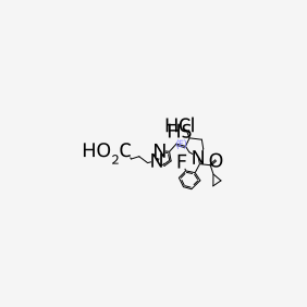 Cl.O=C(O)CCCn1ccc(/C=C2\CN(C(C(=O)C3CC3)c3ccccc3F)CCC2S)n1